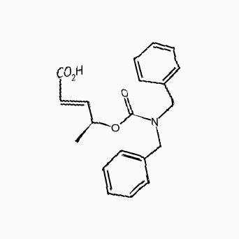 C[C@@H](/C=C/C(=O)O)OC(=O)N(Cc1ccccc1)Cc1ccccc1